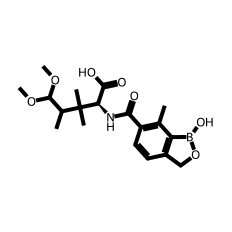 COC(OC)C(C)C(C)(C)[C@H](NC(=O)c1ccc2c(c1C)B(O)OC2)C(=O)O